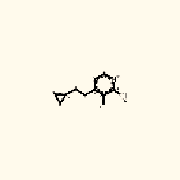 Fc1c(CCC2CC2)ccnc1Cl